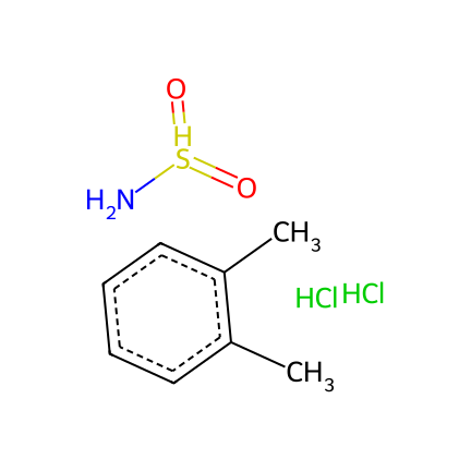 Cc1ccccc1C.Cl.Cl.N[SH](=O)=O